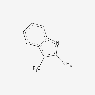 Cc1[nH]c2ccccc2c1C(F)(F)F